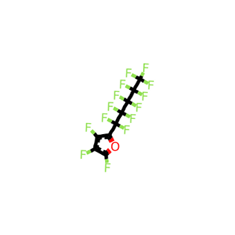 Fc1oc(C(F)(F)C(F)(F)C(F)(F)C(F)(F)C(F)(F)F)c(F)c1F